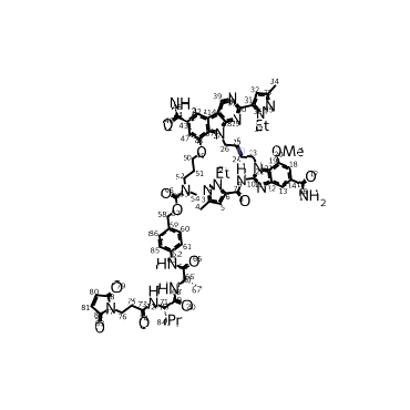 CCn1nc(C)cc1C(=O)Nc1nc2cc(C(N)=O)cc(OC)c2n1C/C=C/Cn1c2nc(-c3cc(C)nn3CC)ncc2c2cc(C(N)=O)cc(OCCCN(C)C(=O)OCc3ccc(NC(=O)[C@H](C)NC(=O)[C@@H](NC(=O)CCN4C(=O)C=CC4=O)C(C)C)cc3)c21